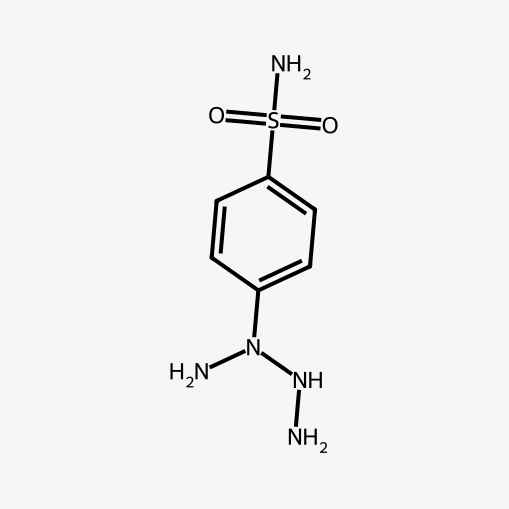 NNN(N)c1ccc(S(N)(=O)=O)cc1